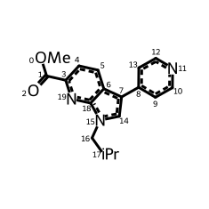 COC(=O)c1ccc2c(-c3ccncc3)cn(CC(C)C)c2n1